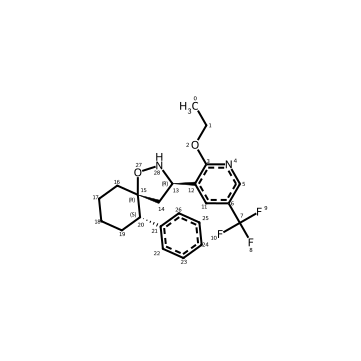 CCOc1ncc(C(F)(F)F)cc1[C@H]1C[C@@]2(CCCC[C@H]2c2ccccc2)ON1